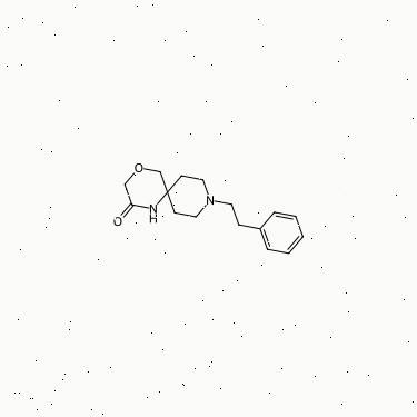 O=C1COCC2(CCN(CCc3ccccc3)CC2)N1